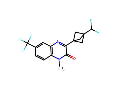 Cn1c(=O)c(C23CC(C(F)F)(C2)C3)nc2cc(C(F)(F)F)ccc21